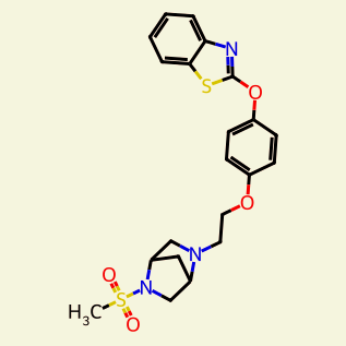 CS(=O)(=O)N1CC2CC1CN2CCOc1ccc(Oc2nc3ccccc3s2)cc1